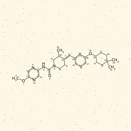 COc1cnc(NC(=O)N2CC/C(=C\c3cccc(OC4CCC(C)(C)CC4)c3)C(C)C2)cn1